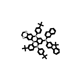 CC(C)(C)c1ccc(N2c3ccc(C(C)(C)C)cc3B3c4cc5c(cc4N(c4ccc(C(C)(C)C)cc4)c4cc(N(c6ccc7c(c6)C(C)(C)c6ccccc6-7)c6ccc7ccccc7c6)cc2c43)OCCO5)cc1